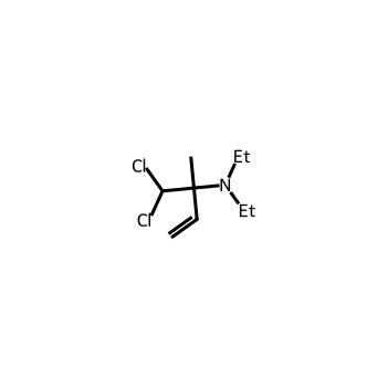 C=CC(C)(C(Cl)Cl)N(CC)CC